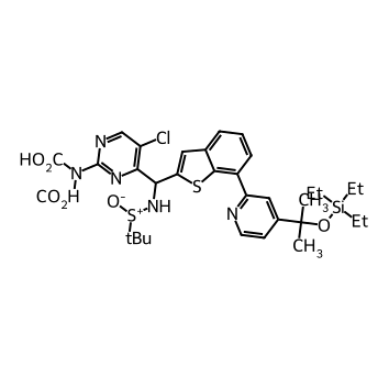 CC[Si](CC)(CC)OC(C)(C)c1ccnc(-c2cccc3cc(C(N[S+]([O-])C(C)(C)C)c4nc(N(C(=O)O)C(=O)O)ncc4Cl)sc23)c1